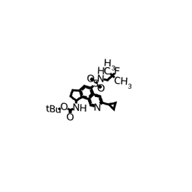 CC(C)(F)CNS(=O)(=O)c1cc2c(c3cnc(C4CC4)cc13)C(NC(=O)OC(C)(C)C)CC2